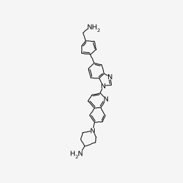 NCc1ccc(-c2ccc3c(c2)ncn3-c2ccc3cc(N4CCC(N)CC4)ccc3n2)cc1